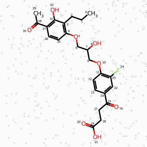 CCCc1c(OCC(O)COc2ccc(C(=O)CCC(=O)O)cc2F)ccc(C(C)=O)c1O